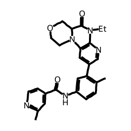 CCN1C(=O)C2COCCN2c2cc(-c3cc(NC(=O)c4ccnc(C)c4)ccc3C)cnc21